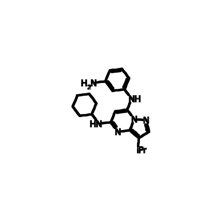 CC(C)c1cnn2c(Nc3cccc(N)c3)cc(NC3CCCCC3)nc12